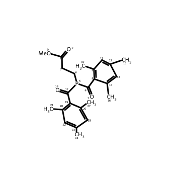 COC(=O)CCP(C(=O)c1c(C)cc(C)cc1C)C(=O)c1c(C)cc(C)cc1C